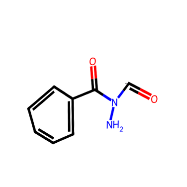 NN([C]=O)C(=O)c1ccccc1